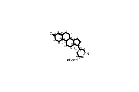 CCCCC[C@@H](C)C[C@H](CC#N)C1CCC2C3CCC4=CC(=O)CC[C@]4(C)C3CC[C@@]21C